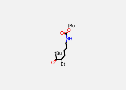 CC[C@@H](CCCCNC(=O)OC(C)(C)C)C(=O)C(C)(C)C